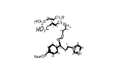 COc1ccc(C(CCn2ccnc2)=NOCCN)cc1.O=C(O)/C=C/C(=O)O.O=C(O)/C=C/C(=O)O